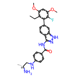 CCc1c(OC)cc(OC)c(F)c1-c1ccc2c(NC(=O)c3ccc(NC[C@@H](C)N)cc3)n[nH]c2c1